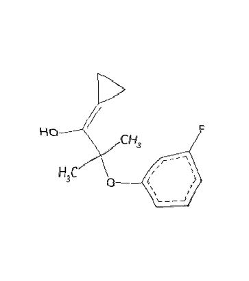 CC(C)(Oc1cccc(F)c1)C(O)=C1CC1